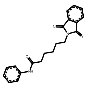 O=C(CCCCCN1C(=O)c2ccccc2C1=O)Nc1ccccc1